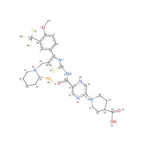 COc1ccc(-c2nc(NC(=O)c3cnc(N4CCC(C(=O)O)CC4)cn3)sc2CN2CCCCC2P)cc1C(F)(F)F